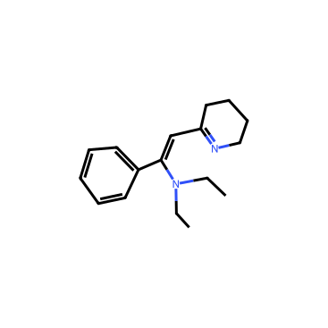 CCN(CC)/C(=C\C1=NCCCC1)c1ccccc1